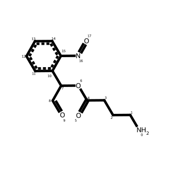 NCCCC(=O)OC(C=O)c1ccccc1N=O